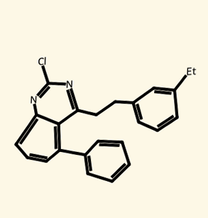 CCc1cccc(CCc2nc(Cl)nc3cccc(-c4ccccc4)c23)c1